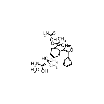 C.C#CC.CS(=O)(=O)c1ccccc1-c1ncoc1-c1ccccc1.NC(O)=S.NC(O)=S.O